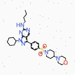 CCCCNc1ncc2c(-c3ccc(S(=O)(=O)N4CCC(N5CCOCC5)CC4)cc3)nn(C3CCCCC3)c2n1